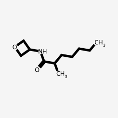 CCCCCC(C)C(=O)NC1COC1